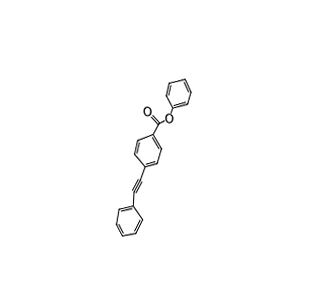 O=C(Oc1ccccc1)c1ccc(C#Cc2ccccc2)cc1